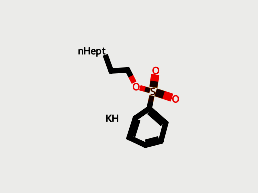 CCCCCCCCCOS(=O)(=O)c1ccccc1.[KH]